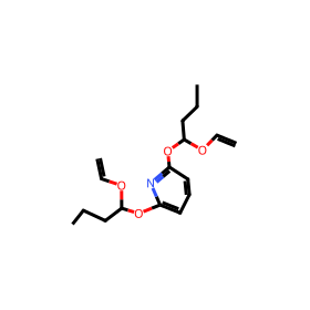 C=COC(CCC)Oc1cccc(OC(CCC)OC=C)n1